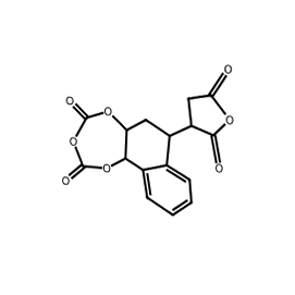 O=C1CC(C2CC3OC(=O)OC(=O)OC3c3ccccc32)C(=O)O1